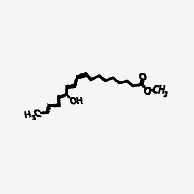 CCCCC[C@H](O)/C=C/C=C\CCCCCCCC(=O)OC